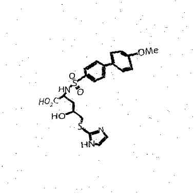 COc1ccc(-c2ccc(S(=O)(=O)NC(CC(O)CSc3ncc[nH]3)C(=O)O)cc2)cc1